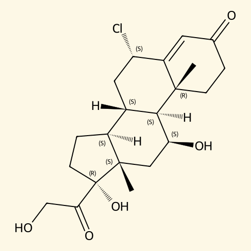 C[C@]12CCC(=O)C=C1[C@@H](Cl)C[C@@H]1[C@@H]2[C@@H](O)C[C@@]2(C)[C@H]1CC[C@]2(O)C(=O)CO